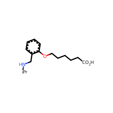 CC(C)NCc1ccccc1OCCCCCC(=O)O